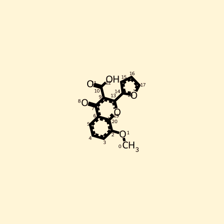 COc1cccc2c(=O)c(C(=O)O)c(-c3ccco3)oc12